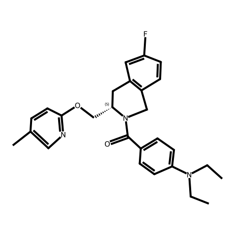 CCN(CC)c1ccc(C(=O)N2Cc3ccc(F)cc3C[C@H]2COc2ccc(C)cn2)cc1